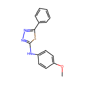 COc1ccc(Nc2nnc(-c3ccccc3)s2)cc1